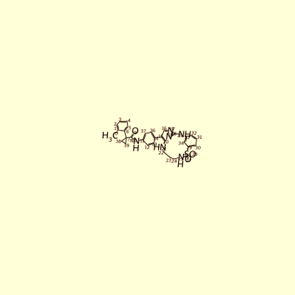 Cc1ccccc1C1(C(=O)Nc2ccc(-c3cnc4nc3NCCCNS(=O)(=O)c3cccc(c3)N4)cc2)CC1